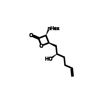 C=CCC[C@H](O)C[C@H]1OC(=O)[C@@H]1CCCCCC